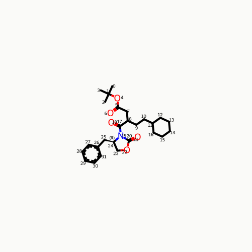 CC(C)(C)OC(=O)CC(CCC1CCCCC1)C(=O)N1C(=O)OC[C@H]1Cc1ccccc1